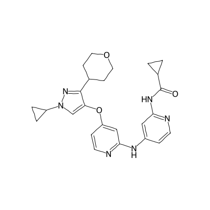 O=C(Nc1cc(Nc2cc(Oc3cn(C4CC4)nc3C3CCOCC3)ccn2)ccn1)C1CC1